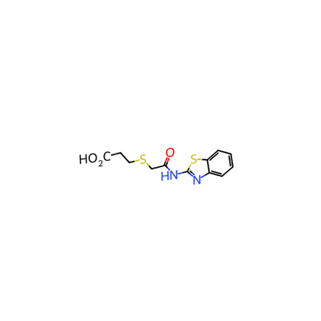 O=C(O)CCSCC(=O)Nc1nc2ccccc2s1